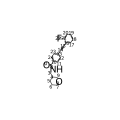 O=C(NCC1CCCOC1)c1ccc(C#Cc2ccccc2F)cc1